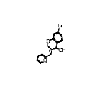 OC1c2ccc(Br)cc2OC[C@@H]1Cc1ccccn1